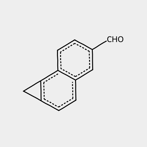 O=Cc1ccc2c3c(ccc2c1)C3